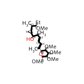 CC[C@H](OC)[C@@H](C)[C@H]1C[C@@H]1[C@H](O)[C@@H](C)/C=C/C=C(\C)[C@H]1O[C@@H](OC)[C@H](OC)[C@@H](OC)[C@@H]1OC